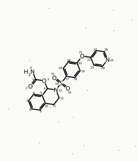 NC(=O)OC1c2ccccc2CCN1S(=O)(=O)c1ccc(Oc2ccncc2)cc1